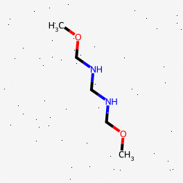 COCNCNCOC